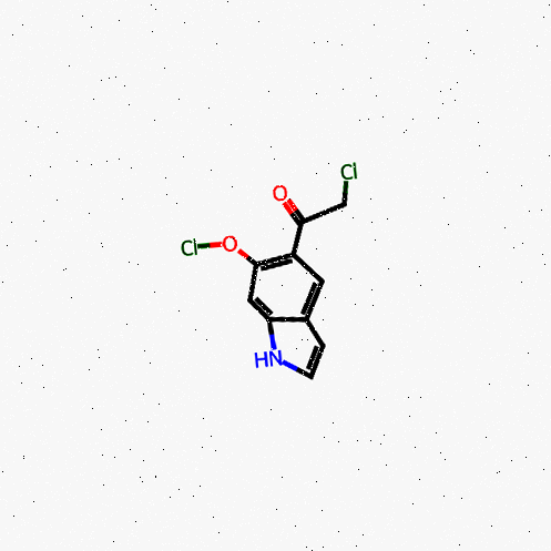 O=C(CCl)c1cc2cc[nH]c2cc1OCl